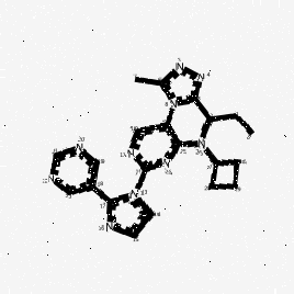 CCC1c2nnc(C)n2-c2cnc(-n3ccnc3-c3cncnc3)nc2N1C1CCC1